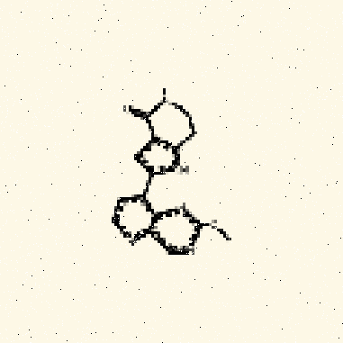 COc1ncc2nccc(-c3cc4c([nH]3)CCNC4=O)c2n1